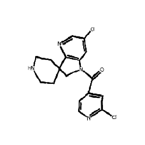 O=C(c1ccnc(Cl)c1)N1CC2(CCNCC2)c2ncc(Cl)cc21